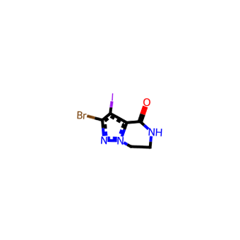 O=C1NCCn2nc(Br)c(I)c21